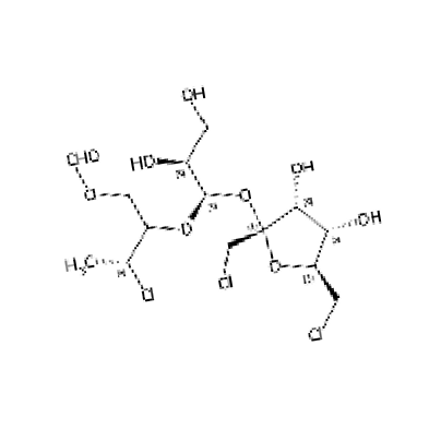 C[C@@H](Cl)C(COC=O)O[C@H](O[C@@]1(CCl)O[C@H](CCl)[C@@H](O)[C@H]1O)[C@@H](O)CO